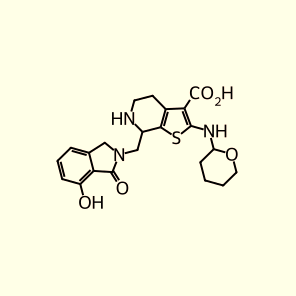 O=C(O)c1c(NC2CCCCO2)sc2c1CCNC2CN1Cc2cccc(O)c2C1=O